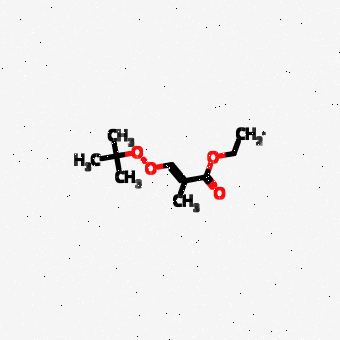 [CH2]COC(=O)C(C)=COOC(C)(C)C